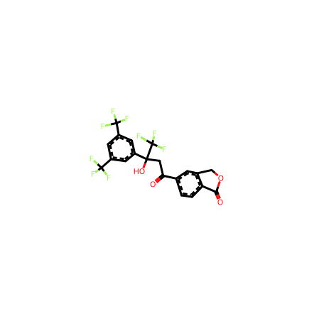 O=C(CC(O)(c1cc(C(F)(F)F)cc(C(F)(F)F)c1)C(F)(F)F)c1ccc2c(c1)COC2=O